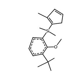 COc1c(C(C)(C)C)cccc1[Si](C)(C)C1=C(C)C=CC1